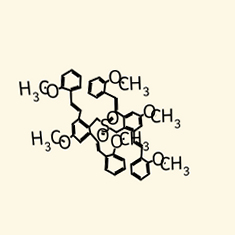 COc1cc(/C=C/c2ccccc2OC)c(CS(=O)(=O)Cc2c(/C=C/c3ccccc3OC)cc(OC)cc2/C=C/c2ccccc2OC)c(/C=C/c2ccccc2OC)c1